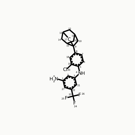 Nc1cc(Nc2ccc(C34CC5CC(CC3C5)C4)cc2Cl)cc(C(F)(F)F)c1